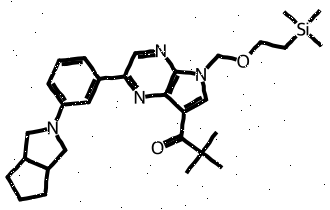 CC(C)(C)C(=O)c1cn(COCC[Si](C)(C)C)c2ncc(-c3cccc(N4CC5CCCC5C4)c3)nc12